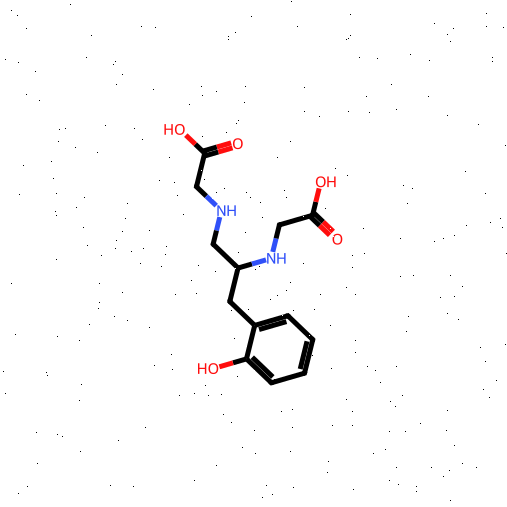 O=C(O)CNCC(Cc1ccccc1O)NCC(=O)O